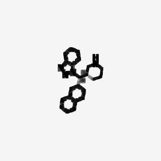 c1ccc2cc([C@@H]([C@H]3CCCNC3)n3nnc4ccccc43)ccc2c1